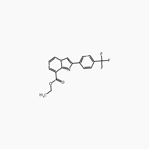 CCOC(=O)c1cccn2cc(-c3ccc(C(F)(F)F)cc3)nc12